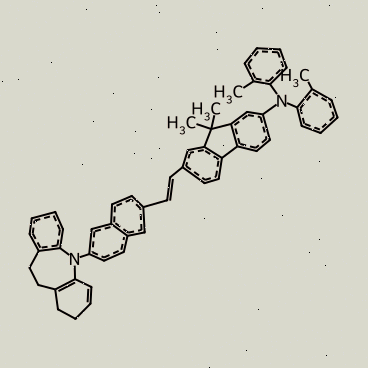 Cc1ccccc1N(c1ccc2c(c1)C(C)(C)c1cc(/C=C/c3ccc4cc(N5C6=C(CCC=C6)CCc6ccccc65)ccc4c3)ccc1-2)c1ccccc1C